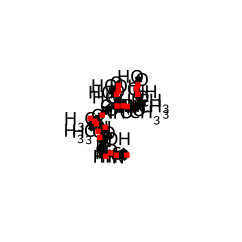 Cc1c(-c2ccc(N3CCn4cnc(C(=O)Nc5nc6ccccc6s5)c4C3)nc2C(=O)O)cnn1CC12CC3(C)CC(C)(C1)CC(OCCNC(=O)OCc1ccc(NC(=O)[C@H](C)NC(=O)[C@@H](NC(=O)CNC(=O)CCC(=O)O)C(C)C)cc1CC[C@@H]1OC(C(=O)O)[C@@H](O)[C@H](O)[C@H]1O)(C3)C2